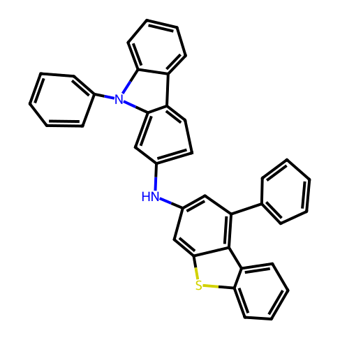 c1ccc(-c2cc(Nc3ccc4c5ccccc5n(-c5ccccc5)c4c3)cc3sc4ccccc4c23)cc1